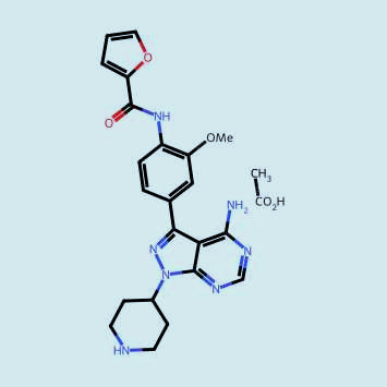 CC(=O)O.COc1cc(-c2nn(C3CCNCC3)c3ncnc(N)c23)ccc1NC(=O)c1ccco1